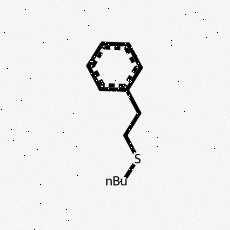 [CH2]CCCSCCc1ccccc1